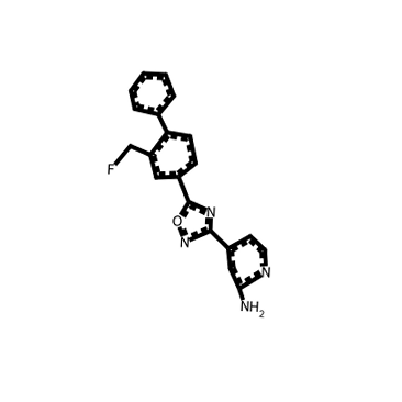 Nc1cc(-c2noc(-c3ccc(-c4ccccc4)c(CF)c3)n2)ccn1